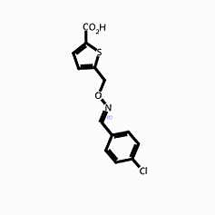 O=C(O)c1ccc(CO/N=C/c2ccc(Cl)cc2)s1